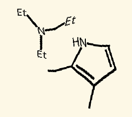 CCN(CC)CC.Cc1cc[nH]c1C